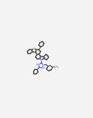 CC1C=CC=C(CN2NC(c3ccccc3)NC2n2c3ccccc3c3c4cc(-c5ccccc5)c5sc6ccccc6c5c4ccc32)C1